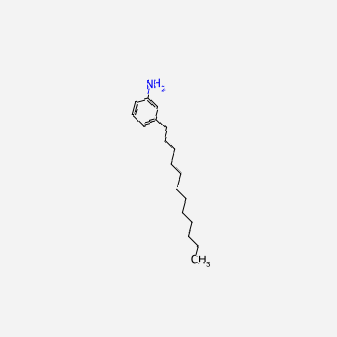 CCCCCCCCCCCCc1cccc(N)c1